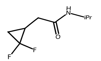 CC(C)NC(=O)CC1CC1(F)F